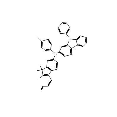 C=C/C=C\C1=C(C)C(C)(C)c2cc(N(c3ccc(Cl)cc3)c3ccc4c5ccccc5n(-c5ccccc5)c4c3)ccc21